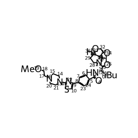 CC[C@H](C)[C@H](NC(=O)c1ccc(-c2csc(N3CCN(CCOC)CC3)n2)cc1)C(=O)N1CC[C@H]2OCC(=O)[C@H]21